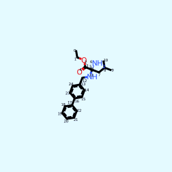 CCOC(=O)[C@@](N)(CC(C)C)NCc1ccc(-c2ccccc2)cc1